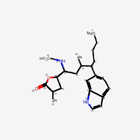 COCCCC(c1ccc2cc[nH]c2c1)C(CC(NC(=O)O)C1CC(C(C)C)C(=O)O1)C(C)C